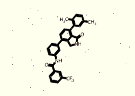 Cc1ccc(C)c(-c2ccc(-c3cccc(NC(=O)c4cccc(C(F)(F)F)c4)c3)c3c2C(=O)NC3)c1